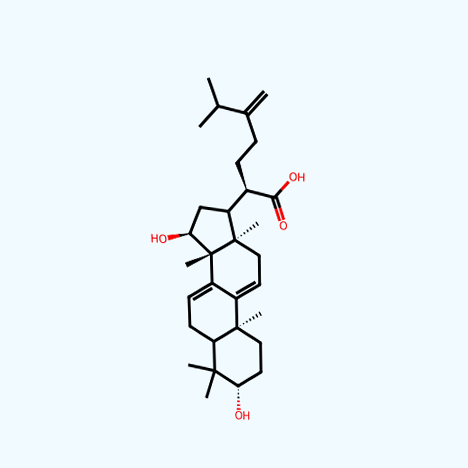 C=C(CC[C@@H](C(=O)O)C1C[C@H](O)[C@@]2(C)C3=CCC4C(C)(C)[C@@H](O)CC[C@]4(C)C3=CC[C@]12C)C(C)C